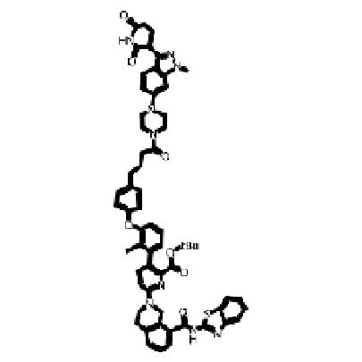 Cc1c(Oc2ccc(CCCC(=O)N3CCN(c4ccc5c(C6CCC(=O)NC6=O)nn(C)c5c4)CC3)cc2)cccc1-c1ccc(N2CCc3cccc(C(=O)Nc4nc5ccccc5s4)c3C2)nc1C(=O)OC(C)(C)C